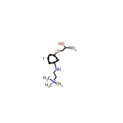 C[N+](C)(C)CCNc1cccc(SCC(O)[N+](=O)[O-])c1.[I-]